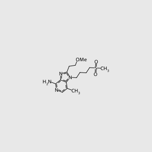 COCCc1nc2c(N)ncc(C)c2n1CCCCS(C)(=O)=O